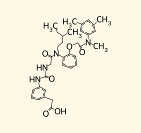 CCC(C)CCN(C(=O)CNC(=O)Nc1cccc(CC(=O)O)c1)c1ccccc1OCC(=O)N(C)c1cc(C)cc(C)c1